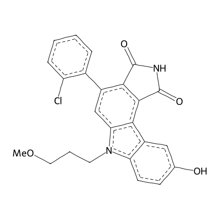 COCCCn1c2ccc(O)cc2c2c3c(c(-c4ccccc4Cl)cc21)C(=O)NC3=O